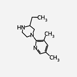 CCC1CN(c2ncc(C)cc2C)CCN1